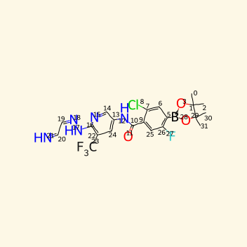 CC1(C)OB(c2cc(Cl)c(C(=O)Nc3cnc(N/N=C\C=N)c(C(F)(F)F)c3)cc2F)OC1(C)C